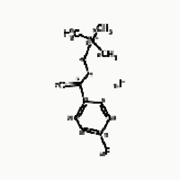 C[N+](C)(C)CCC(=O)c1ccc(F)cc1.[I-]